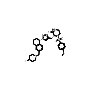 COc1ccc(S(=O)(=O)N2CCNC(=O)[C@H]2Cc2cn([C@H]3CCCc4cc(CN5CCC(F)CC5)ccc43)nn2)cc1